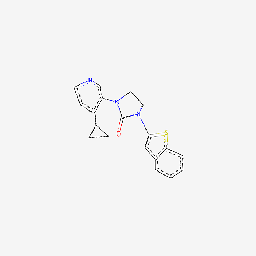 O=C1N(c2cc3ccccc3s2)CCN1c1cnccc1C1CC1